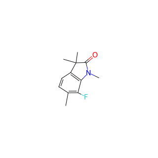 Cc1ccc2c(c1F)N(C)C(=O)C2(C)C